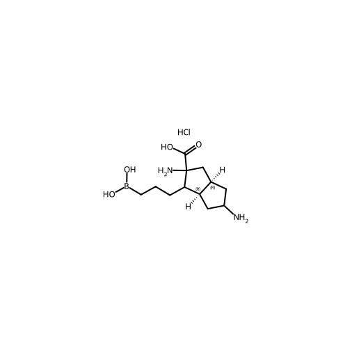 Cl.NC1C[C@@H]2CC(N)(C(=O)O)C(CCCB(O)O)[C@@H]2C1